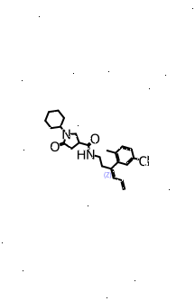 C=C/C=C(/CCNC(=O)C1CC(=O)N(C2CCCCC2)C1)c1cc(Cl)ccc1C